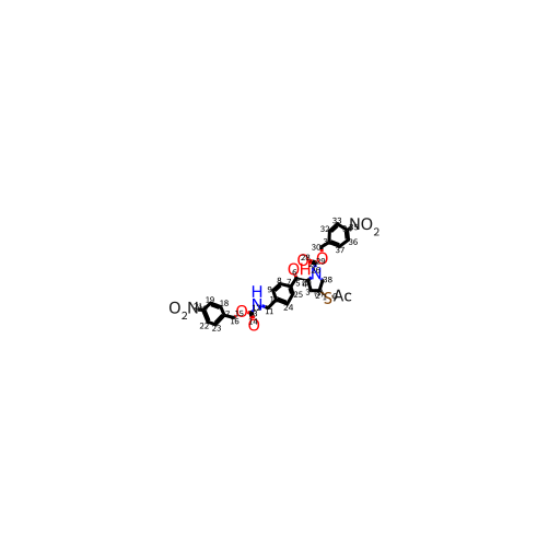 CC(=O)S[C@H]1C[C@@H](C(O)c2ccc(CNC(=O)OCc3ccc([N+](=O)[O-])cc3)cc2)N(C(=O)OCc2ccc([N+](=O)[O-])cc2)C1